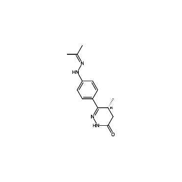 CC(C)=NNc1ccc(C2=NNC(=O)C[C@H]2C)cc1